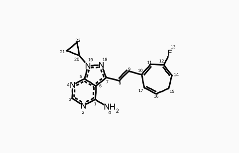 Nc1ncnc2c1c(/C=C/C1=CC(F)=CCC=C1)nn2C1CC1